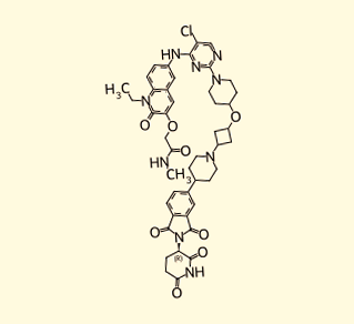 CCn1c(=O)c(OCC(=O)NC)cc2cc(Nc3nc(N4CCC(OC5CC(N6CCC(c7ccc8c(c7)C(=O)N([C@@H]7CCC(=O)NC7=O)C8=O)CC6)C5)CC4)ncc3Cl)ccc21